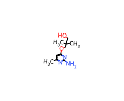 Cc1cc(OCC(C)(C)CO)nc(N)n1